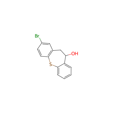 OC1Cc2cc(Br)ccc2Sc2ccccc21